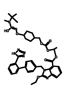 CCOc1nc2cccc(C(=O)OC(C)OC(=O)OCC3CCC(O/N=[N+](\O)N(C)C(C)(C)C)CC3)c2n1Cc1ccc(-c2ccccc2-c2nnn[nH]2)cc1